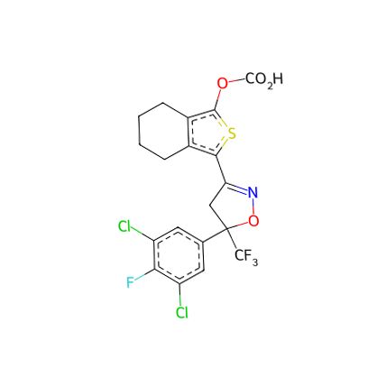 O=C(O)Oc1sc(C2=NOC(c3cc(Cl)c(F)c(Cl)c3)(C(F)(F)F)C2)c2c1CCCC2